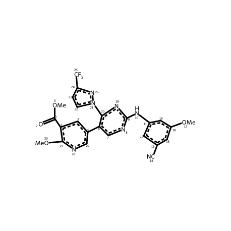 COC(=O)c1cc(-c2cnc(Nc3cc(C#N)cc(OC)c3)nc2-n2ccc(C(F)(F)F)n2)cnc1OC